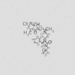 Cc1cc(Cl)nc(C)c1C(=O)NCCC(C)N1CCC(N2C(=O)N(CC3CCCO3)C[C@H]2c2ccccc2)CC1